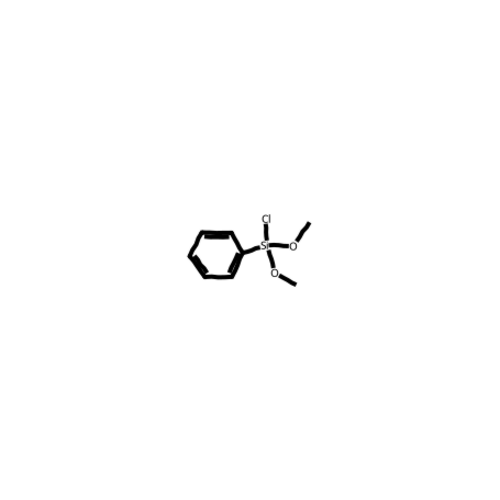 CO[Si](Cl)(OC)c1ccccc1